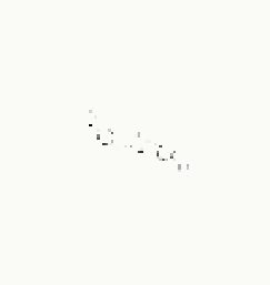 C[C@@H]1CN(Cc2ccc(C(=O)NO)cc2)C[C@H](C)N1Cc1ccc(-c2ccoc2)cc1